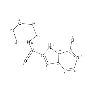 O=C(c1cc2ccnc(Cl)c2[nH]1)N1CCOCC1